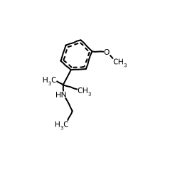 CCNC(C)(C)c1cccc(OC)c1